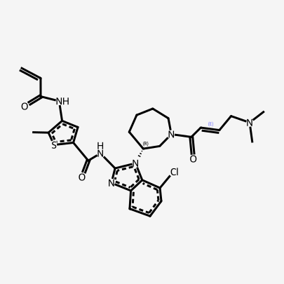 C=CC(=O)Nc1cc(C(=O)Nc2nc3cccc(Cl)c3n2[C@@H]2CCCCN(C(=O)/C=C/CN(C)C)C2)sc1C